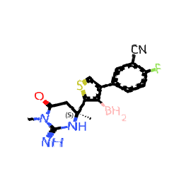 Bc1c(-c2ccc(F)c(C#N)c2)csc1[C@]1(C)CC(=O)N(C)C(=N)N1